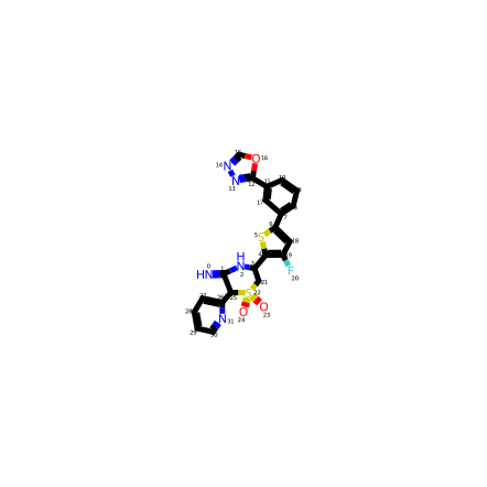 N=C1NC(c2sc(-c3cccc(-c4nnco4)c3)cc2F)CS(=O)(=O)C1c1ccccn1